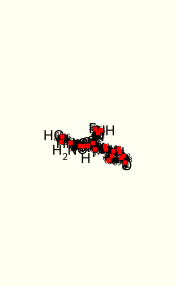 COc1ccc(CN2CCN(C3CC4(CCN(c5cc(Oc6cnc7[nH]cc(F)c7c6)c(C(=O)NS(=O)(=O)c6ccc(NC[C@H]7CC[C@](C)(O)CC7)c(N)c6)cc5F)CC4)C3)C(c3ccccc3C(C)C)C2)cc1